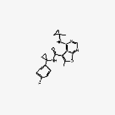 Cc1oc2ncnc(NC3(C)CC3)c2c1C(=O)NC1(c2ccc(F)cc2)CC1